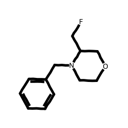 FCC1COCCN1Cc1ccccc1